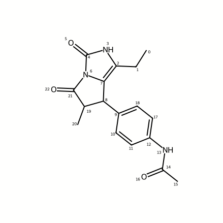 CCc1[nH]c(=O)n2c1C(c1ccc(NC(C)=O)cc1)C(C)C2=O